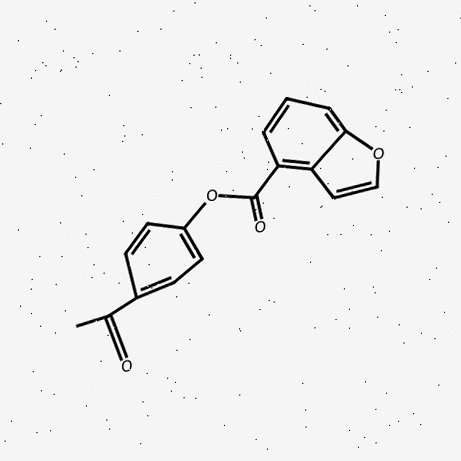 CC(=O)c1ccc(OC(=O)c2cccc3occc23)cc1